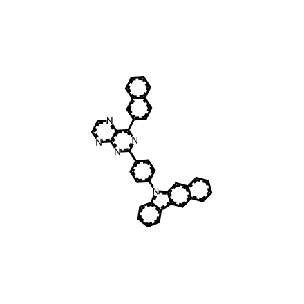 c1ccc2cc(-c3nc(-c4ccc(-n5c6ccccc6c6cc7ccccc7cc65)cc4)nc4nccnc34)ccc2c1